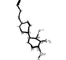 C=CCCC1CCC(C2CCC(OC)C(F)C2F)CC1